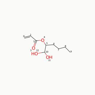 C=CC(=O)OC(CCCC)C(O)O